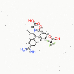 CCC1C(c2ccc(C(=N)N)cc2)c2ccccc2C(=O)N1CC(=O)O.O=C(O)C(F)(F)F